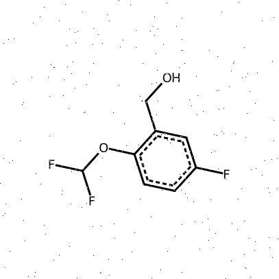 O[CH]c1cc(F)ccc1OC(F)F